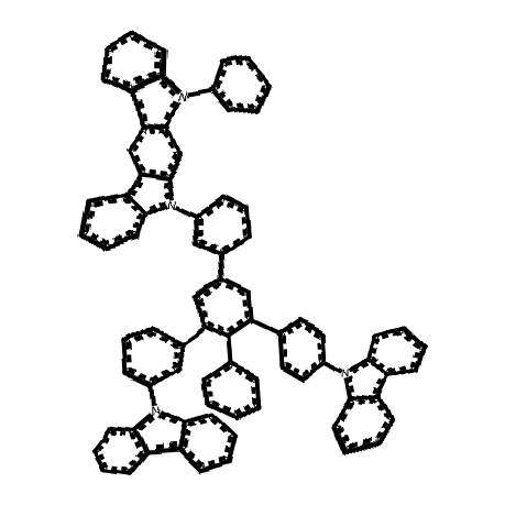 c1ccc(-c2c(-c3ccc(-n4c5ccccc5c5ccccc54)cc3)cc(-c3cccc(-n4c5ccccc5c5cc6c7ccccc7n(-c7ccccc7)c6cc54)c3)cc2-c2cccc(-n3c4ccccc4c4ccccc43)c2)cc1